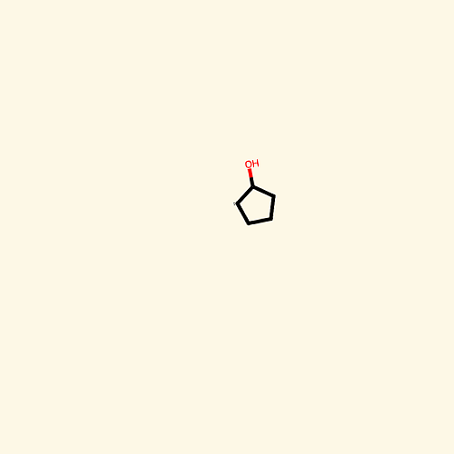 OC1[C]CCC1